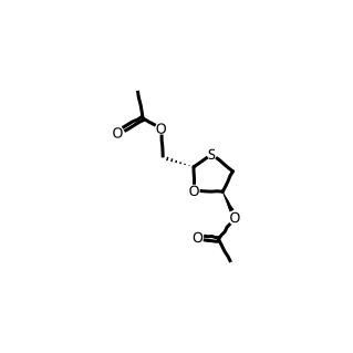 CC(=O)OC[C@H]1O[C@H](OC(C)=O)CS1